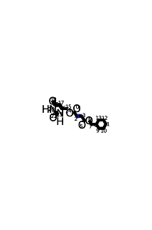 O=C(/C=C/C(=O)OCC1CCCCC1)OCc1cc(=O)[nH]c(=O)[nH]1